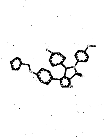 COc1ccc(N2C(=O)c3[nH]nc(-c4ccc(OCc5ccccc5)cc4)c3C2c2ccc(F)cc2)cc1